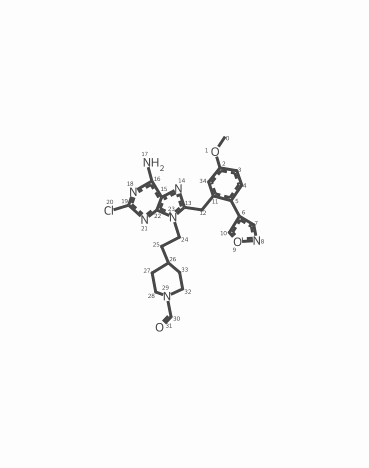 COc1ccc(-c2cnoc2)c(Cc2nc3c(N)nc(Cl)nc3n2CCC2CCN(C=O)CC2)c1